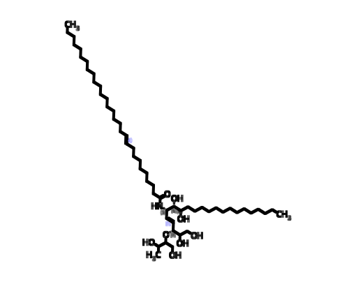 CCCCCCCCCCCCCCCCCC/C=C/CCCCCCCCC(=O)N[C@@H](/C=C/[C@@H](OC(CO)C(C)O)C(O)CO)[C@H](O)[C@H](O)CCCCCCCCCCCCCC